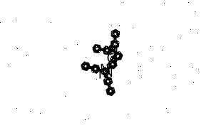 c1ccc(-c2ccc(-c3nc(-c4ccc(-c5ccccc5)cc4)nc(-c4ccc5c(c4)oc4c(-n6c7ccc(-c8ccccc8)cc7c7cc(-c8ccccc8)ccc76)cccc45)n3)cc2)cc1